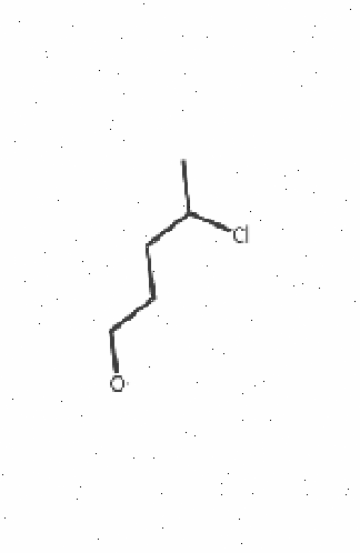 CC(Cl)CCC[O]